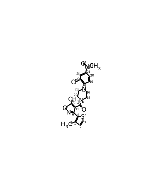 Cc1ccsc1-c1noc(C)c1C(=O)N1CCN(c2ccc([N+](C)=O)cc2Cl)CC1